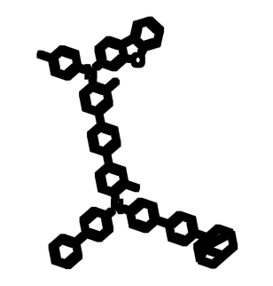 Cc1ccc(N(c2ccc3c(c2)oc2ccccc23)c2ccc(-c3ccc(-c4ccc(N(c5ccc(-c6ccccc6)cc5)c5ccc(-c6ccc(C78CC9CC(CC(C9)C7)C8)cc6)cc5)c(C)c4)cc3)cc2C)cc1